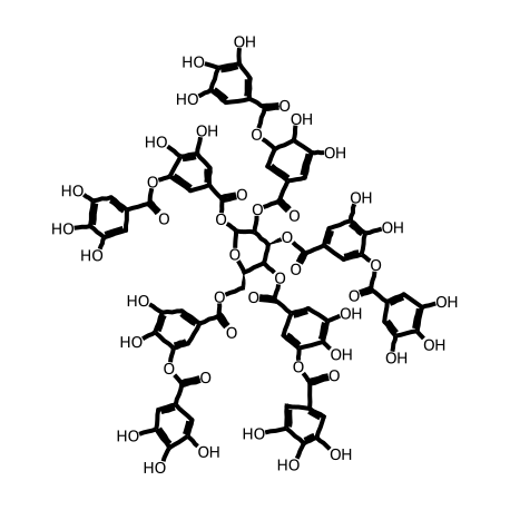 O=C(OC1C(OC(=O)c2cc(O)c(O)c(OC(=O)c3cc(O)c(O)c(O)c3)c2)O[C@H](COC(=O)c2cc(O)c(O)c(OC(=O)c3cc(O)c(O)c(O)c3)c2)C(OC(=O)c2cc(O)c(O)c(OC(=O)c3cc(O)c(O)c(O)c3)c2)[C@@H]1OC(=O)c1cc(O)c(O)c(OC(=O)c2cc(O)c(O)c(O)c2)c1)C1=CC(OC(=O)c2cc(O)c(O)c(O)c2)C(O)C(O)=C1